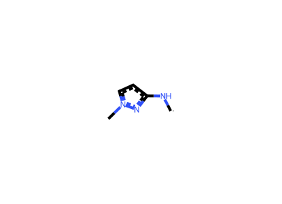 [CH2]Nc1ccn(C)n1